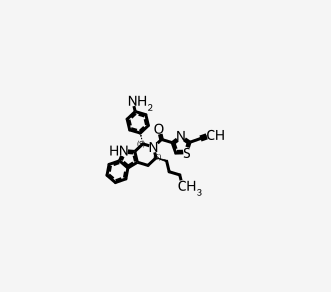 C#Cc1nc(C(=O)N2[C@@H](CCCC)Cc3c([nH]c4ccccc34)[C@@H]2c2ccc(N)cc2)cs1